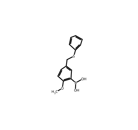 COc1ccc(CSc2ccccc2)cc1B(O)O